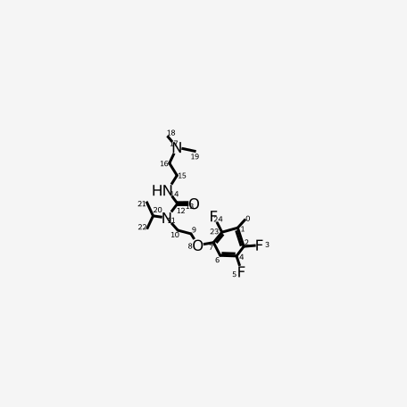 Cc1c(F)c(F)cc(OCCN(C(=O)NCCN(C)C)C(C)C)c1F